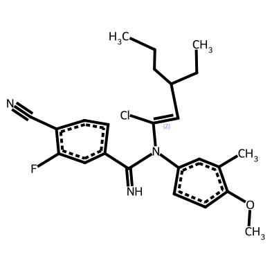 CCCC(/C=C(\Cl)N(C(=N)c1ccc(C#N)c(F)c1)c1ccc(OC)c(C)c1)CC